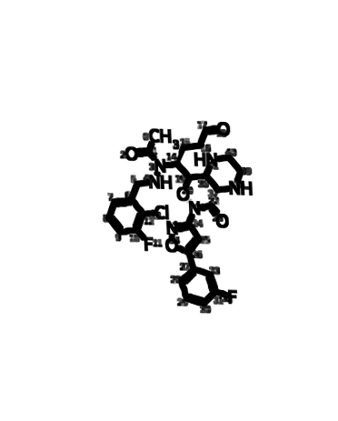 CC(=O)N(NCc1cccc(F)c1Cl)[C@@H](CCC=O)C(ON(C=O)c1cc(-c2cccc(F)c2)on1)C1CNCCN1